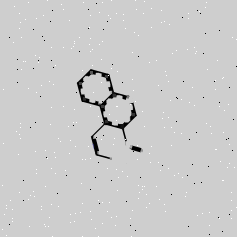 C=Nc1cnc2ccccc2c1/C=C\C